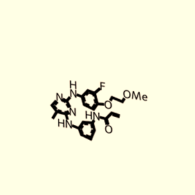 C=CC(=O)Nc1cccc(Nc2nc(Nc3ccc(OCCOC)c(F)c3)ncc2C)c1